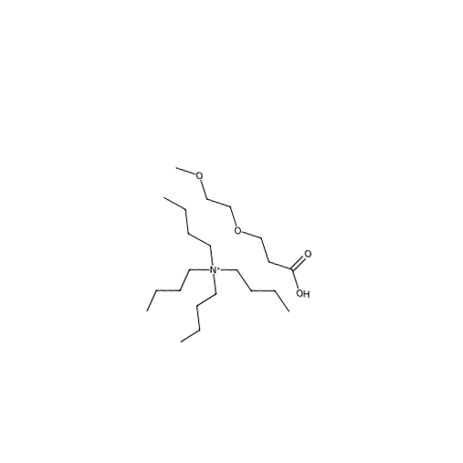 CCCC[N+](CCCC)(CCCC)CCCC.COCCOCCC(=O)O